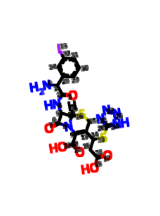 NC(C(=O)NC1C(=O)N2C(C(=O)O)=C(C(CC(=O)O)Sc3nnn[nH]3)CS[C@@H]12)c1cccc(I)c1